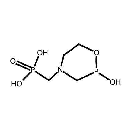 O=P(O)(O)CN1CCOP(O)C1